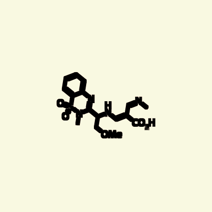 C/N=C\C(=C/NC(COC)C1=Nc2ccccc2S(=O)(=O)N1C)C(=O)O